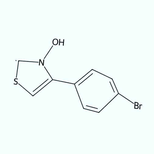 ON1[CH]SC=C1c1ccc(Br)cc1